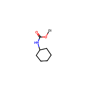 CCOC(=O)NC1CCCCC1